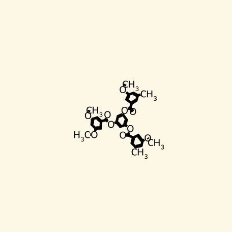 COc1cc(C)cc(C(=O)Oc2cc(OC(=O)c3cc(C)cc(OC)c3)cc(OC(=O)c3cc(OC)cc(OC)c3)c2)c1